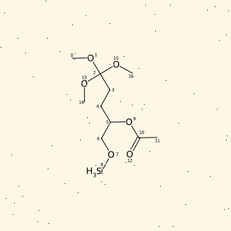 COC(CCC(CO[SiH3])OC(C)=O)(OC)OC